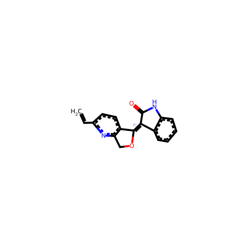 C=Cc1ccc2c(n1)CO/C2=C1/C(=O)Nc2ccccc21